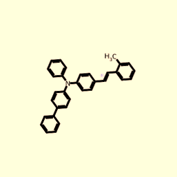 Cc1ccccc1/C=C/c1ccc(N(c2ccccc2)c2ccc(-c3ccccc3)cc2)cc1